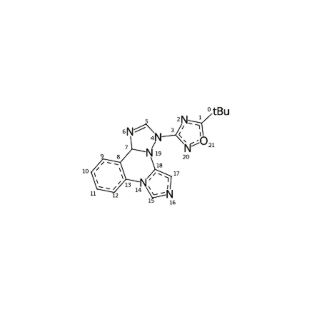 CC(C)(C)c1nc(N2C=NC3c4ccccc4-n4cncc4N32)no1